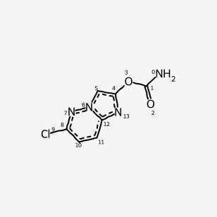 NC(=O)Oc1cn2nc(Cl)ccc2n1